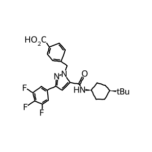 CC(C)(C)[C@H]1CC[C@@H](NC(=O)c2cc(-c3cc(F)c(F)c(F)c3)nn2Cc2ccc(C(=O)O)cc2)CC1